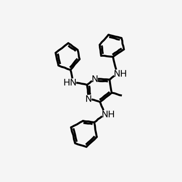 Cc1c(Nc2ccccc2)nc(Nc2ccccc2)nc1Nc1ccccc1